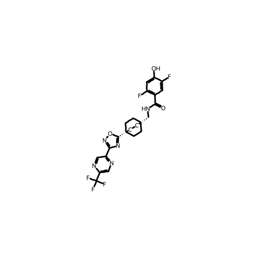 O=C(NC[C@]12CC[C@](c3nc(-c4cnc(C(F)(F)F)cn4)no3)(CC1)CC2)c1cc(F)c(O)cc1F